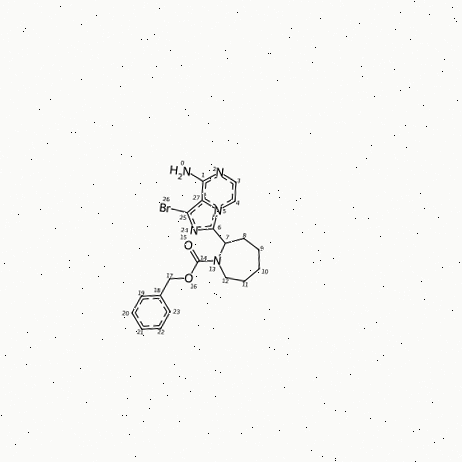 Nc1nccn2c(C3CCCCCN3C(=O)OCc3ccccc3)nc(Br)c12